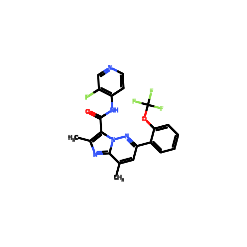 Cc1nc2c(C)cc(-c3ccccc3OC(F)(F)F)nn2c1C(=O)Nc1ccncc1F